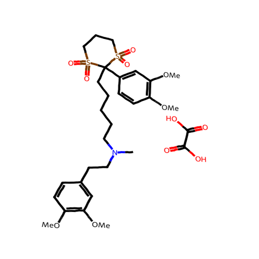 COc1ccc(CCN(C)CCCCCC2(c3ccc(OC)c(OC)c3)S(=O)(=O)CCCS2(=O)=O)cc1OC.O=C(O)C(=O)O